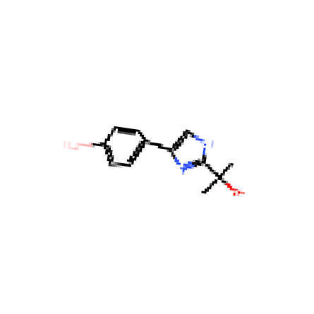 Bc1ccc(-c2c[nH]c(C(C)(C)O)n2)cc1